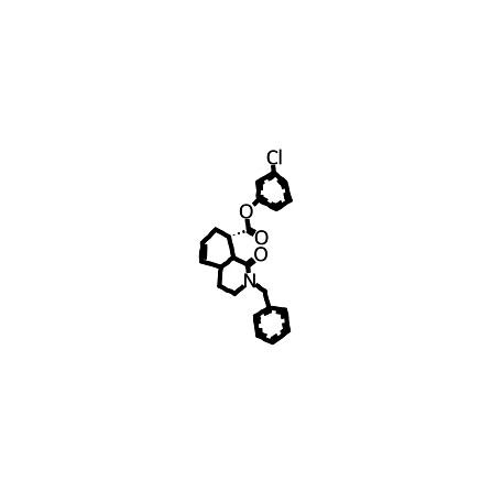 O=C(Oc1cccc(Cl)c1)[C@H]1CC=CC2CCN(Cc3ccccc3)C(=O)C21